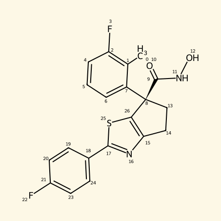 Cc1c(F)cccc1[C@]1(C(=O)NO)CCc2nc(-c3ccc(F)cc3)sc21